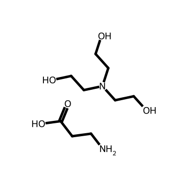 NCCC(=O)O.OCCN(CCO)CCO